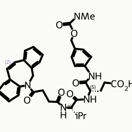 CNC(=O)OCc1ccc(NC(=O)[C@H](CCC(=O)O)NC(=O)[C@@H](NC(=O)CCC(=O)N2Cc3ccccc3/C=C\c3ccccc32)C(C)C)cc1